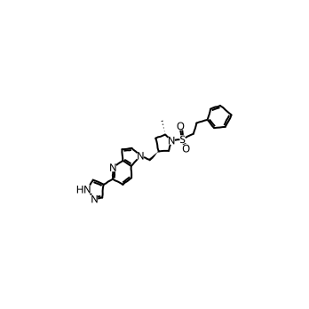 C[C@H]1C[C@H](Cn2ccc3nc(-c4cn[nH]c4)ccc32)CN1S(=O)(=O)CCc1ccccc1